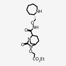 CCOC(=O)CON1C(=O)N2CC1CCC2C(=O)NOC[C@@H]1CCCCCN1